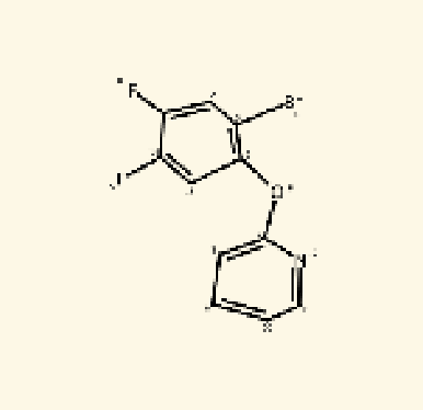 Fc1cc(Br)c(Oc2ccccn2)cc1F